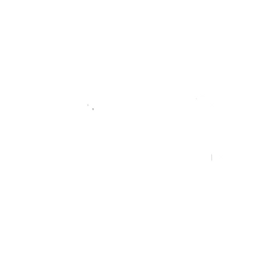 O=Cc1cc2cc[nH]c2cc1C(F)(F)F